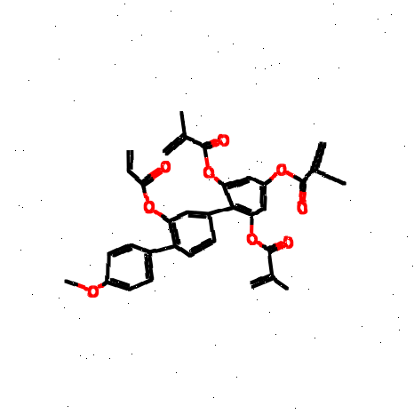 C=CC(=O)Oc1cc(-c2c(OC(=O)C(=C)C)cc(OC(=O)C(=C)C)cc2OC(=O)C(=C)C)ccc1-c1ccc(OC)cc1